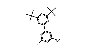 CC(C)(C)c1cc(-c2cc(F)cc(Br)c2)cc(C(C)(C)C)c1